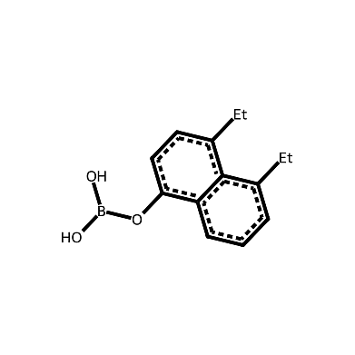 CCc1cccc2c(OB(O)O)ccc(CC)c12